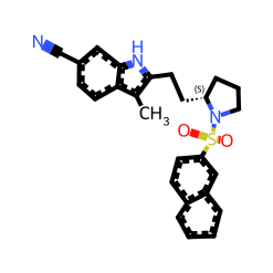 Cc1c(CC[C@@H]2CCCN2S(=O)(=O)c2ccc3ccccc3c2)[nH]c2cc(C#N)ccc12